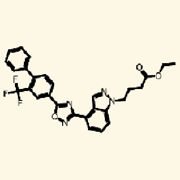 CCOC(=O)CCCn1ncc2c(-c3noc(-c4ccc(-c5ccccc5)c(C(F)(F)F)c4)n3)cccc21